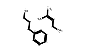 CC(=O)OCC=C(C)C.OCCCc1ccccc1